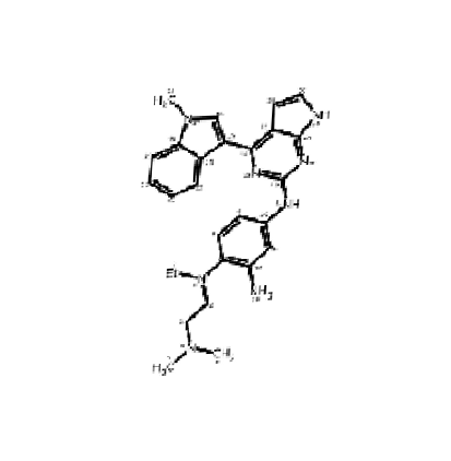 CCN(CCN(C)C)c1ccc(Nc2nc(-c3cn(C)c4ccccc34)c3cc[nH]c3n2)cc1N